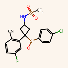 N#Cc1ccc(F)cc1C1([S+]([O-])c2ccc(Cl)cc2)CC(NS(=O)(=O)C(F)(F)F)C1